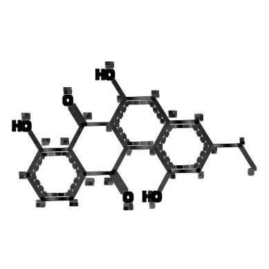 CCc1cc(O)c2c3c(c(O)cc2c1)C(=O)c1c(O)cccc1C3=O